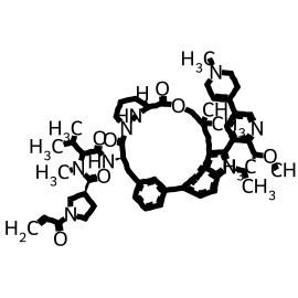 C=CC(=O)N1CC[C@H](C(=O)N(C)C(C(=O)N[C@H]2Cc3cccc(c3)-c3ccc4c(c3)c(c(-c3cc(C5=CCN(C)CC5)cnc3[C@H](C)OC)n4CC)CC(C)(C)COC(=O)[C@@H]3CCCN(N3)C2=O)C(C)C)C1